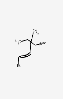 CCC=CC(C)(C)[C](C)CC